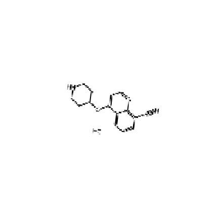 Cl.N#Cc1cccc2c(OC3CCNCC3)ccnc12